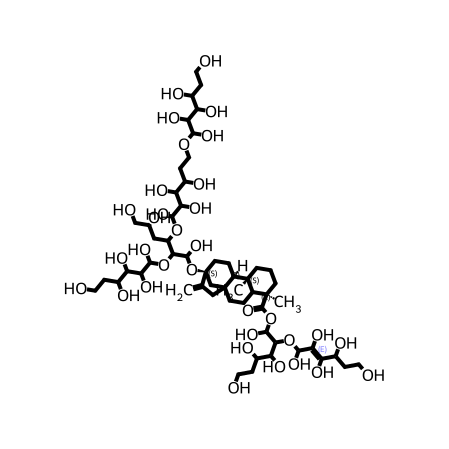 C=C1CC23CCC4[C@](C)(C(=O)OC(O)C(OC(O)/C(O)=C(\O)C(O)CCO)C(O)C(O)CCO)CCC[C@@]4(C)[C@@H]2CC[C@]1(OC(O)C(OC(O)C(O)C(O)C(O)CCO)C(CC(O)CO)OC(O)C(O)C(O)C(O)CCOC(O)C(O)C(O)C(O)CCO)C3